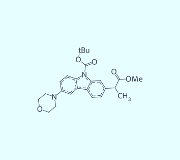 COC(=O)C(C)c1ccc2c3cc(N4CCOCC4)ccc3n(C(=O)OC(C)(C)C)c2c1